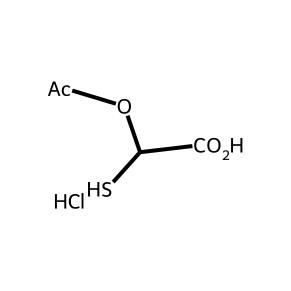 CC(=O)OC(S)C(=O)O.Cl